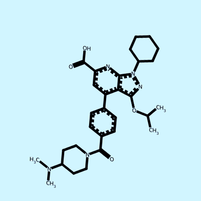 CC(C)Oc1nn(C2CCCCC2)c2nc(C(=O)O)cc(-c3ccc(C(=O)N4CCC(N(C)C)CC4)cc3)c12